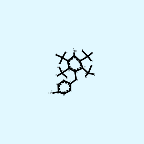 CC(C)(C)c1c(O)c(C(C)(C)C)c(C(C)(C)C)c(Cc2ccc(O)cc2)c1C(C)(C)C